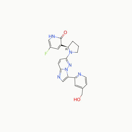 O=c1[nH]cc(F)cc1[C@H]1CCCN1c1ccc2ncc(-c3cc(CO)ccn3)n2n1